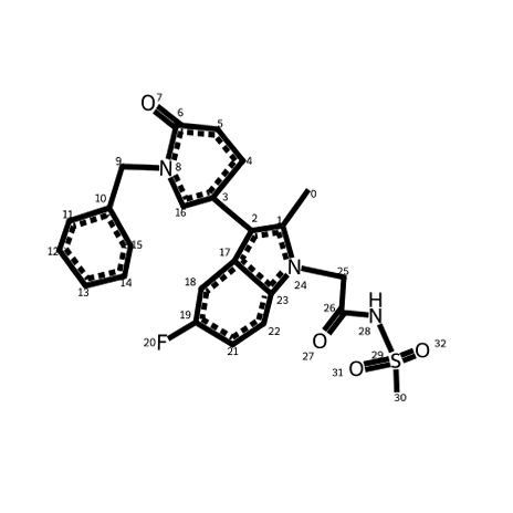 Cc1c(-c2ccc(=O)n(Cc3ccccc3)c2)c2cc(F)ccc2n1CC(=O)NS(C)(=O)=O